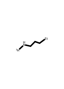 [3H]NCCCCC